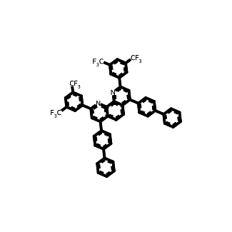 FC(F)(F)c1cc(-c2cc(-c3ccc(-c4ccccc4)cc3)c3ccc4c(-c5ccc(-c6ccccc6)cc5)cc(-c5cc(C(F)(F)F)cc(C(F)(F)F)c5)nc4c3n2)cc(C(F)(F)F)c1